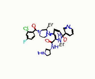 CCOC1(c2cccnc2)C=CC(N2CCN(C(=O)c3ccc(F)cc3Cl)C[C@H]2CC)=C(C(=O)N[C@@H]2CCNC2)N1